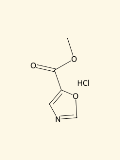 COC(=O)c1cnco1.Cl